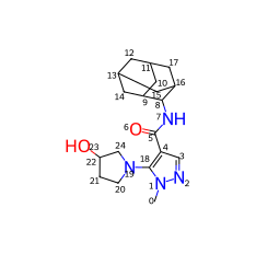 Cn1ncc(C(=O)NC2C3CC4CC(C3)CC2C4)c1N1CCC(O)C1